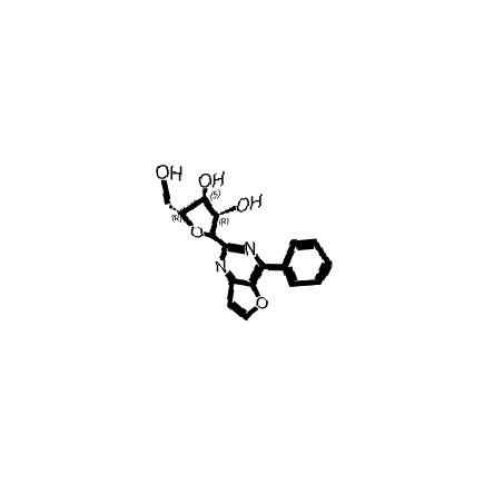 OC[C@H]1OC(c2nc(-c3ccccc3)c3occc3n2)[C@H](O)[C@@H]1O